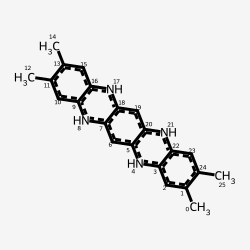 Cc1cc2[nH]c3cc4[nH]c5cc(C)c(C)cc5[nH]c4cc3[nH]c2cc1C